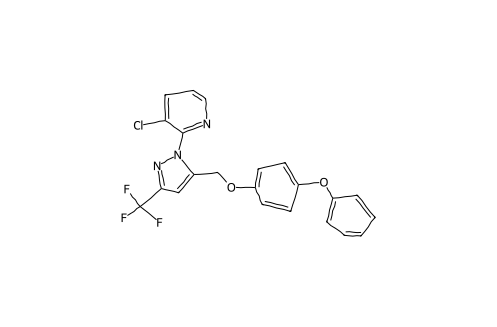 FC(F)(F)c1cc(COc2ccc(Oc3ccccc3)cc2)n(-c2ncccc2Cl)n1